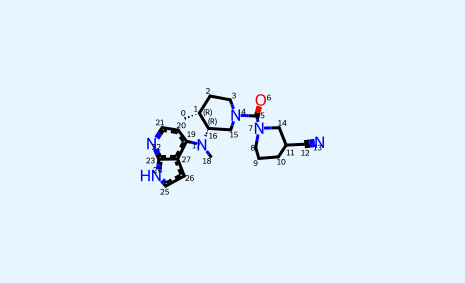 C[C@@H]1CCN(C(=O)N2CCCC(C#N)C2)C[C@@H]1N(C)c1ccnc2[nH]ccc12